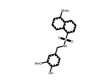 COc1cc(CNS(=O)(=O)c2cccc3c(NC(C)=O)cccc23)ccc1O